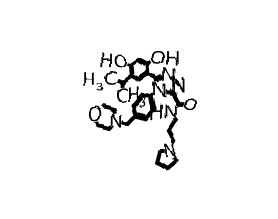 CC(C)c1cc(-c2nnc(C(=O)NCCCN3CCCC3)n2-c2ccc(CN3CCOCC3)cc2)c(O)cc1O